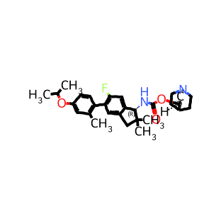 Cc1cc(OC(C)C)ccc1-c1cc2c(cc1F)[C@H](NC(=O)O[C@H]1CN3CCC1CC3)C(C)(C)C2